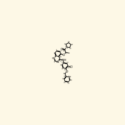 CC(Oc1cccc2ncnc(Nc3ccc(OCc4ccccn4)c(Cl)c3)c12)C(=O)N1CCCC1